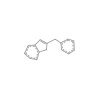 [CH]1C(Cc2ccccc2)=Cc2ccccc21